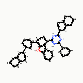 c1ccc(-c2nc(-c3ccc4ccccc4c3)nc(-c3ccc(-c4cccc(-c5ccc6ccccc6c5)c4)c4oc5ccccc5c34)n2)cc1